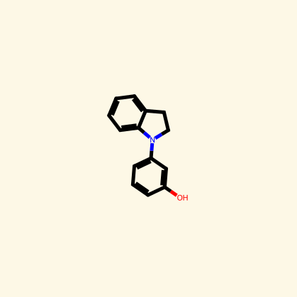 Oc1cccc(N2CCc3ccccc32)c1